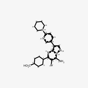 Nc1c(Br)c(C2CCC(C(=O)O)CC2)nc2c(-c3ccc(N4CCCCC4)nc3)cnn12